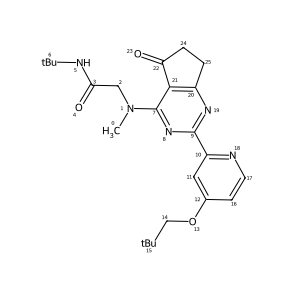 CN(CC(=O)NC(C)(C)C)c1nc(-c2cc(OCC(C)(C)C)ccn2)nc2c1C(=O)CC2